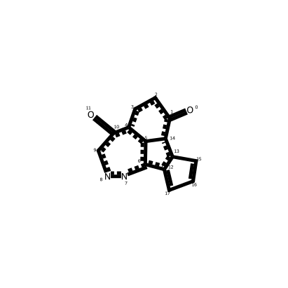 O=c1ccc2c3c(nncc2=O)c2c(c1-3)C=CC=2